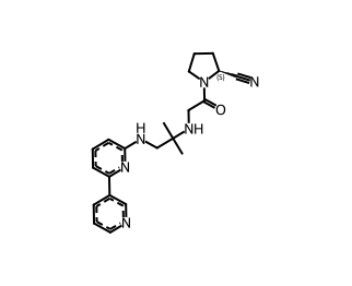 CC(C)(CNc1cccc(-c2cccnc2)n1)NCC(=O)N1CCC[C@H]1C#N